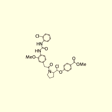 COC(=O)c1ccc(OC(Cl)C2CCCN2C(=O)Cc2ccc(NC(=O)Nc3ccccc3Cl)c(OC)c2)cc1